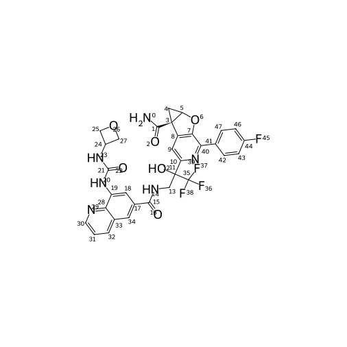 NC(=O)[C@@]12CC1Oc1c2cc(C(O)(CNC(=O)c2cc(NC(=O)NC3COC3)c3ncccc3c2)C(F)(F)F)nc1-c1ccc(F)cc1